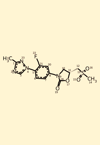 Cc1ncn(-c2ccc(N3C[C@H](CS(C)(=O)=O)OC3=O)cc2F)n1